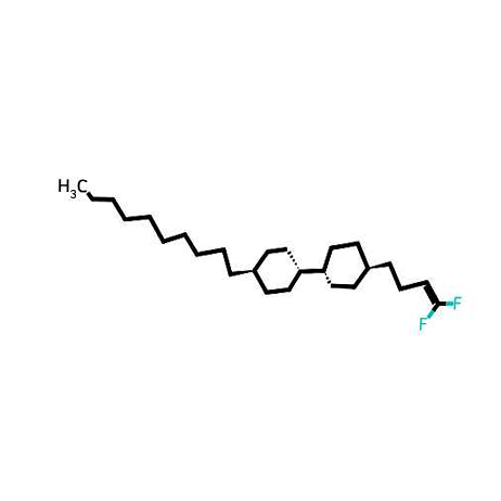 CCCCCCCCCC[C@H]1CC[C@H]([C@H]2CC[C@H](CCC=C(F)F)CC2)CC1